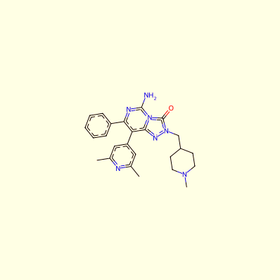 Cc1cc(-c2c(-c3ccccc3)nc(N)n3c(=O)n(CC4CCN(C)CC4)nc23)cc(C)n1